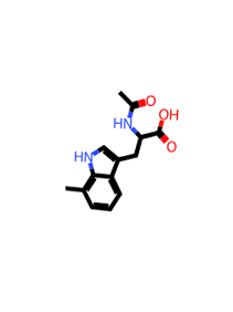 CC(=O)NC(Cc1c[nH]c2c(C)cccc12)C(=O)O